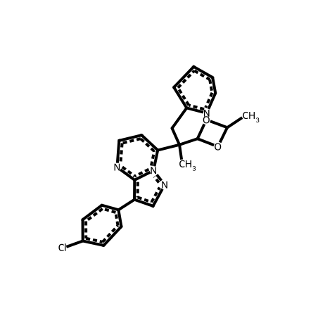 CC1OC(C(C)(Cc2ccccn2)c2ccnc3c(-c4ccc(Cl)cc4)cnn23)O1